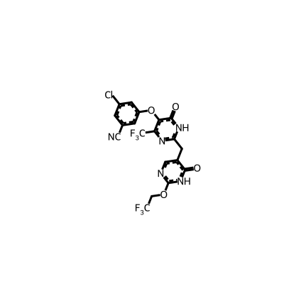 N#Cc1cc(Cl)cc(Oc2c(C(F)(F)F)nc(Cc3cnc(OCC(F)(F)F)[nH]c3=O)[nH]c2=O)c1